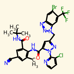 Cc1cc(C#N)cc(C(=O)NC(C)(C)C)c1NC(=O)c1cc(Cn2nnc3cc(Br)c(C(F)(F)F)cc32)nn1-c1ncccc1Cl